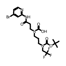 CC(C)(C)OC(=O)N(CCCN(CCC(=O)Nc1cc(Br)ccn1)C(=O)O)CC(F)(F)F